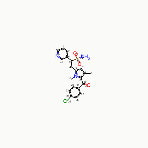 Cc1cc(CC(c2cccnc2)S(N)(=O)=O)n(C)c1C(=O)c1ccc(Cl)cc1